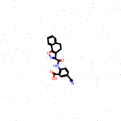 N#Cc1ccc(NC(=O)c2noc3c2CCc2ccccc2-3)c(C(=O)O)c1